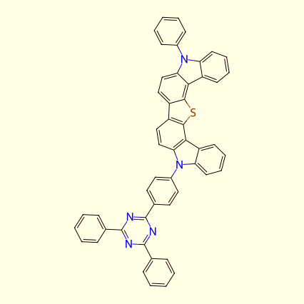 c1ccc(-c2nc(-c3ccccc3)nc(-c3ccc(-n4c5ccccc5c5c6sc7c(ccc8c7c7ccccc7n8-c7ccccc7)c6ccc54)cc3)n2)cc1